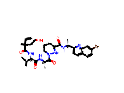 C=CC(C)(CCO)C(=O)N[C@H](C(=O)N[C@@H](C)C(=O)N1CCCC(C(=O)N[C@H](C)c2ccc3ccc(Br)cc3n2)N1)C(C)C